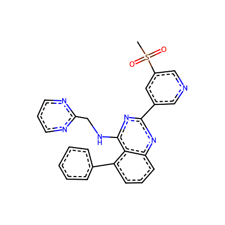 CS(=O)(=O)c1cncc(-c2nc(NCc3ncccn3)c3c(-c4ccccc4)cccc3n2)c1